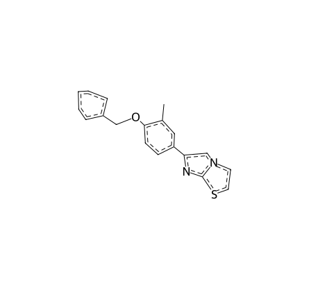 Cc1cc(-c2cn3ccsc3n2)ccc1OCc1ccccc1